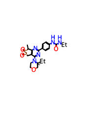 CCNC(=O)Nc1ccc(-c2nc3c(c(N4CCOC[C@@H]4CC)n2)CS(=O)(=O)C3C)cc1